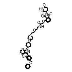 Nc1ncnc2c1c(-c1ccc(Oc3ccccc3)cc1)nn2[C@H]1CC[C@H](N2CCN(CCOCCNC(=O)COc3cccc4c3C(=O)N(C3CCC(=O)NC3=O)C4=O)CC2)CC1